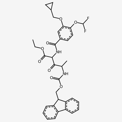 CCOC(=O)C(NC(=O)c1ccc(OC(F)F)c(OCC2CC2)c1)C(=O)C(C)NC(=O)OCC1c2ccccc2-c2ccccc21